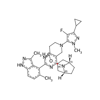 CO[C@H]1C[C@H]2CC[C@@H](C1)N2c1nc(-c2c(C)ccc3[nH]nc(C)c23)nc2c1CN(c1c(F)c(C3CC3)nn1C)CC2